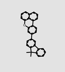 CC1(C)c2ccccc2-c2cc(-c3ccc4c(c3)Oc3cccc5cccc-4c35)ccc21